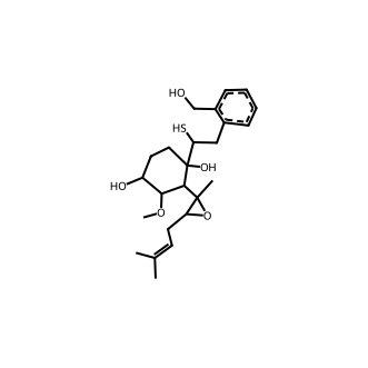 COC1C(O)CCC(O)(C(S)Cc2ccccc2CO)C1C1(C)OC1CC=C(C)C